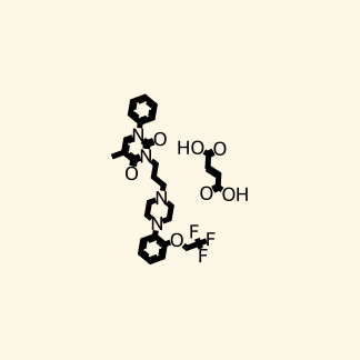 Cc1cn(-c2ccccc2)c(=O)n(CCCN2CCN(c3ccccc3OCC(F)(F)F)CC2)c1=O.O=C(O)C=CC(=O)O